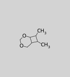 CC1C(C)C2OCOCC12